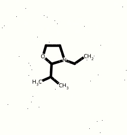 [CH2]CN1CCOC1C(C)C